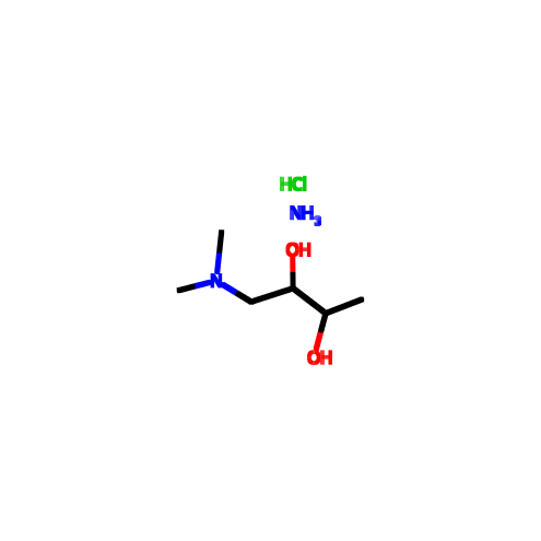 CC(O)C(O)CN(C)C.Cl.N